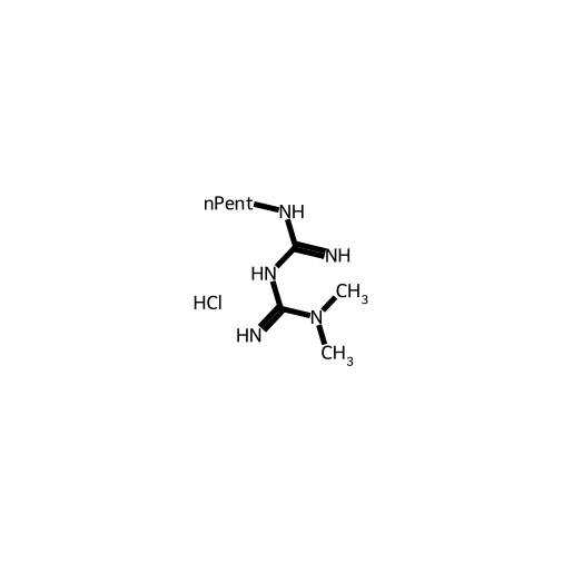 CCCCCNC(=N)NC(=N)N(C)C.Cl